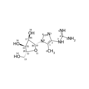 Cc1c(NC(=N)N)ncn1[C@@H]1O[C@H](CO)[C@@H](O)[C@H]1O